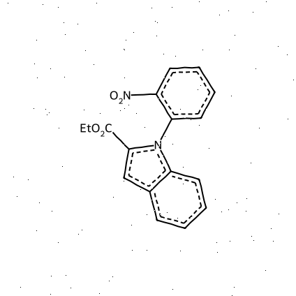 CCOC(=O)c1cc2ccccc2n1-c1ccccc1[N+](=O)[O-]